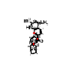 CC(=O)c1ccc(N2C3CCC2CC(NC(=O)c2ccc(C(N)=O)c(NC(C)C(C)(C)C)c2)C3)nc1